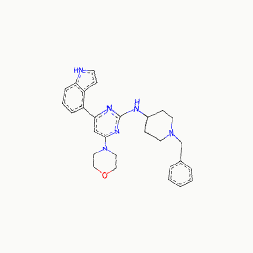 c1ccc(CN2CCC(Nc3nc(-c4cccc5[nH]ccc45)cc(N4CCOCC4)n3)CC2)cc1